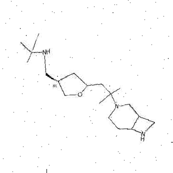 CC(C)(C)NC[C@@H]1COC(CC(C)(C)N2CCC3NCC3C2)C1